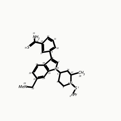 CCCSN1CCC(n2cc(-c3cccc(C(N)=S)c3)c3ccc(CNC)cc32)CC1C